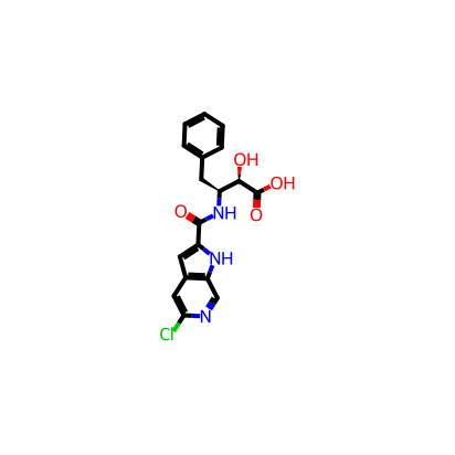 O=C(N[C@@H](Cc1ccccc1)[C@@H](O)C(=O)O)c1cc2cc(Cl)ncc2[nH]1